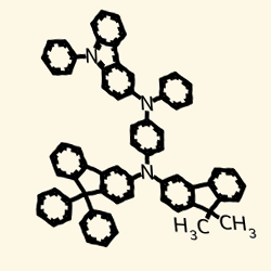 CC1(C)c2ccccc2-c2cc(N(c3ccc(N(c4ccccc4)c4ccc5c(c4)c4ccccc4n5-c4ccccc4)cc3)c3ccc4c(c3)-c3ccccc3C4(c3ccccc3)c3ccccc3)ccc21